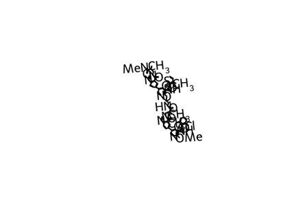 CNC(=O)C(C)Cn1cnc2ccc(-c3cnc(OCCNC(=O)C(C)Cn4cnc5ccc(-c6cnc(OC)c(NS(=O)(=O)c7c(Cl)cccc7Cl)c6)cc5c4=O)c(NS(=O)(=O)c4sccc4C)c3)cc2c1=O